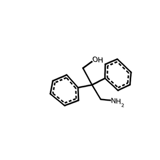 NCC(CO)(c1ccccc1)c1ccccc1